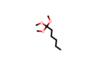 [CH2]CCCCC(OC)(OC)OC